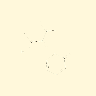 CC(=O)C(=O)C(C)=O.O=C1C=CC=CC1